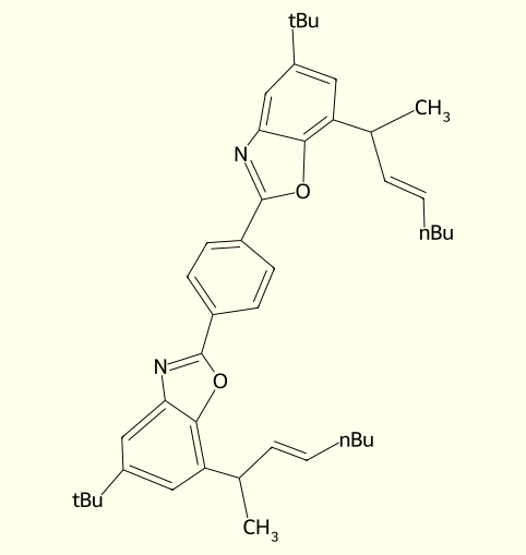 CCCCC=CC(C)c1cc(C(C)(C)C)cc2nc(-c3ccc(-c4nc5cc(C(C)(C)C)cc(C(C)C=CCCCC)c5o4)cc3)oc12